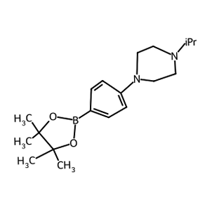 CC(C)N1CCN(c2ccc(B3OC(C)(C)C(C)(C)O3)cc2)CC1